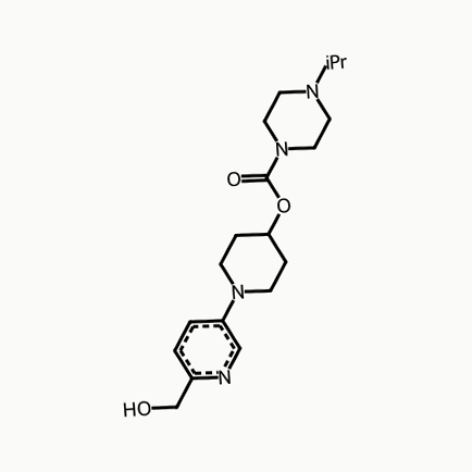 CC(C)N1CCN(C(=O)OC2CCN(c3ccc(CO)nc3)CC2)CC1